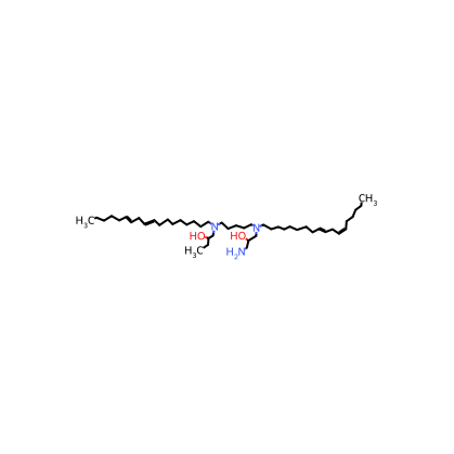 CCCCC/C=C\C/C=C/CCCCCCCCN(CCCCCN(CCCCCCCC/C=C/C/C=C/CCCCC)CC(O)CC)CC(O)CN